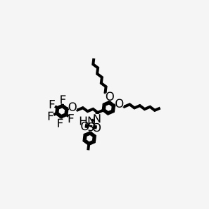 CCCCCCCCOc1ccc(C(CCCCOc2c(F)c(F)c(F)c(F)c2F)=NNS(=O)(=O)c2ccc(C)cc2)cc1OCCCCCCCC